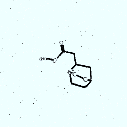 CC(C)(C)OC(=O)CC1CC2CC[N+]1CC2